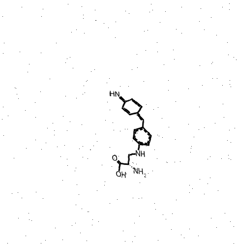 N=C1C=CC(=Cc2ccc(NC[C@H](N)C(=O)O)cc2)C=C1